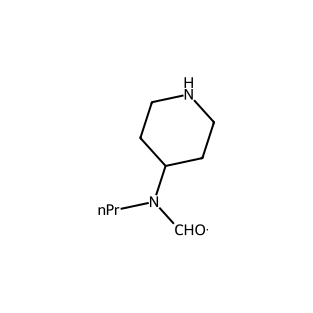 CCCN([C]=O)C1CCNCC1